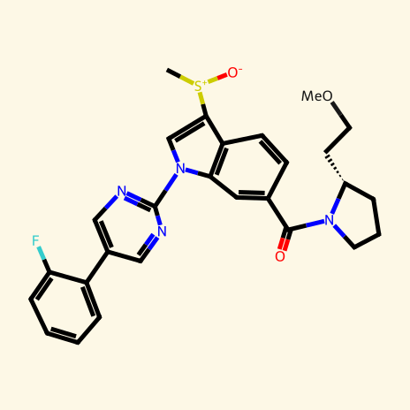 COCC[C@@H]1CCCN1C(=O)c1ccc2c([S+](C)[O-])cn(-c3ncc(-c4ccccc4F)cn3)c2c1